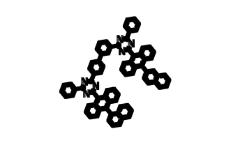 c1ccc(-c2nc(-c3cccc(-c4ccc(-c5nc(-c6ccccc6)nc(-c6c7ccccc7c(-c7cccc8ccccc78)c7ccccc67)n5)cc4)c3)nc(-c3c4ccccc4c(-c4ccc5ccccc5c4)c4ccccc34)n2)cc1